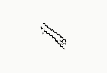 CCCC=CCC=CCCCCCCC(CC)C(=O)O.CCCCCCC=CCCCCCCCC(=O)OCC